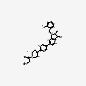 C[C@@H]1CN(c2ncc(-c3ccc4c(=O)n(C)n(Cc5ccccc5Cl)c4c3)cn2)CCN1C(=O)CO